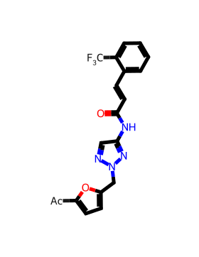 CC(=O)c1ccc(Cn2ncc(NC(=O)/C=C/c3ccccc3C(F)(F)F)n2)o1